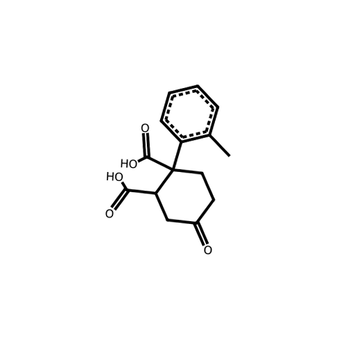 Cc1ccccc1C1(C(=O)O)CCC(=O)CC1C(=O)O